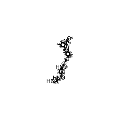 COc1cnc2c(-c3nc4cc(F)c(OCCOC(=O)Nc5ccc(C(=O)NCC(C)(C)CO)nc5)cc4s3)cc(C)cc2n1